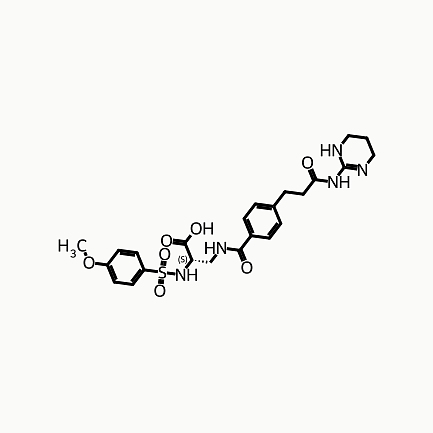 COc1ccc(S(=O)(=O)N[C@@H](CNC(=O)c2ccc(CCC(=O)NC3=NCCCN3)cc2)C(=O)O)cc1